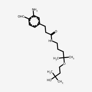 CC(C)(O)CCOC(C)(C)CCCNC(=O)CCc1ccc(C=O)c(N)c1